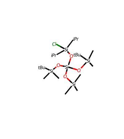 CC(C)[Si](Cl)(O[Si](O[Si](C)(C)C)(O[Si](C)(C)C(C)(C)C)O[Si](C)(C)C(C)(C)C)C(C)C